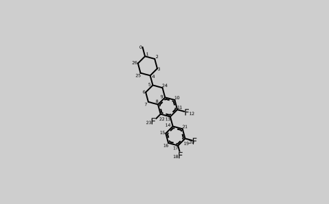 CC1CCC(C2CCc3c(cc(F)c(-c4ccc(F)c(F)c4)c3F)C2)CC1